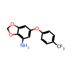 Nc1cc(Oc2ccc(C(F)(F)F)cc2)cc2c1OCO2